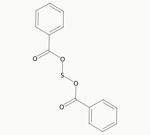 O=C(OSOC(=O)c1ccccc1)c1ccccc1